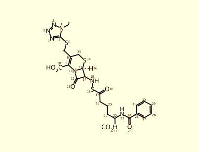 Cn1nnnc1SCC1=C(C(=O)O)N2C(=O)C(NSC(=O)CCCC(NC(=O)c3ccccc3)C(=O)O)[C@@H]2SC1